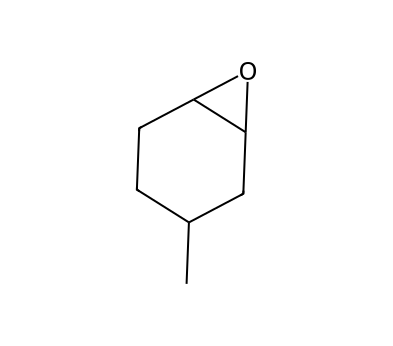 CC1CCC2OC2C1